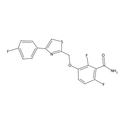 NC(=O)c1c(F)ccc(OCc2nc(-c3ccc(F)cc3)cs2)c1F